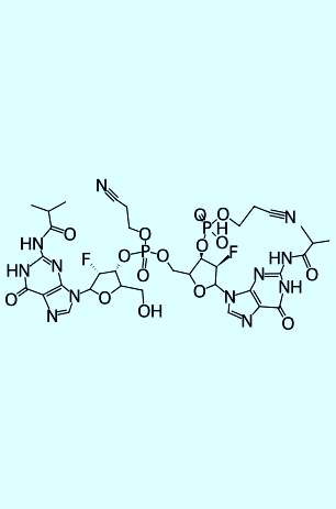 CC(C)C(=O)Nc1nc2c(ncn2C2OC(COP(=O)(OCCC#N)O[C@@H]3C(CO)OC(n4cnc5c(=O)[nH]c(NC(=O)C(C)C)nc54)[C@@H]3F)[C@@H](OP(=O)(O)OCCC#N)[C@H]2F)c(=O)[nH]1